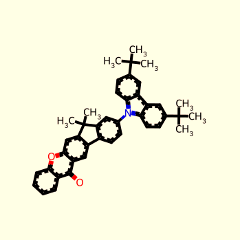 CC(C)(C)c1ccc2c(c1)c1cc(C(C)(C)C)ccc1n2-c1ccc2c(c1)C(C)(C)c1cc3oc4ccccc4c(=O)c3cc1-2